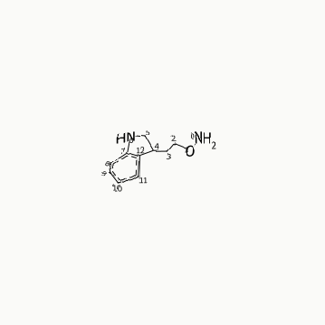 NOCCC1CNc2ccccc21